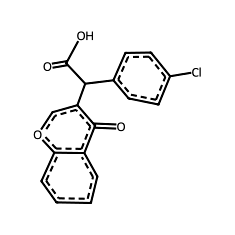 O=C(O)C(c1ccc(Cl)cc1)c1coc2ccccc2c1=O